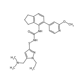 CCn1nc(SNC(=O)Nc2c(-c3ccnc(OC)c3)ccc3c2CCC3)cc1CN(C)C